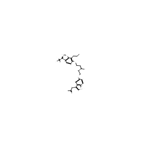 CCCc1c(OCCC(C)CCOc2ccc3[nH]cc(CC(=O)O)c3c2)ccc2c(C(F)(F)F)noc12